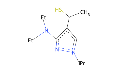 CCN(CC)c1nn(C(C)C)cc1C(C)S